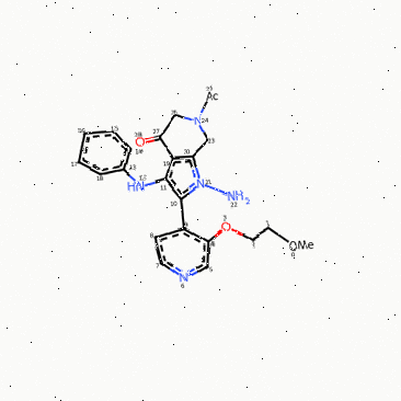 COCCOc1cnccc1-c1c(Nc2ccccc2)c2c(n1N)CN(C(C)=O)CC2=O